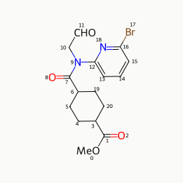 COC(=O)C1CCC(C(=O)N(CC=O)c2cccc(Br)n2)CC1